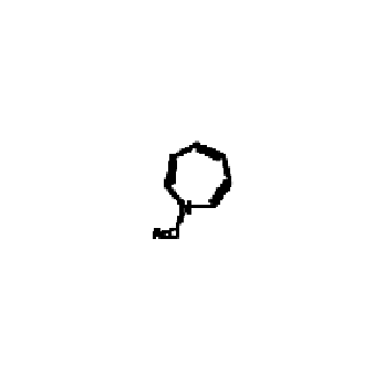 CC(=O)ON1C=CC=CC=C1